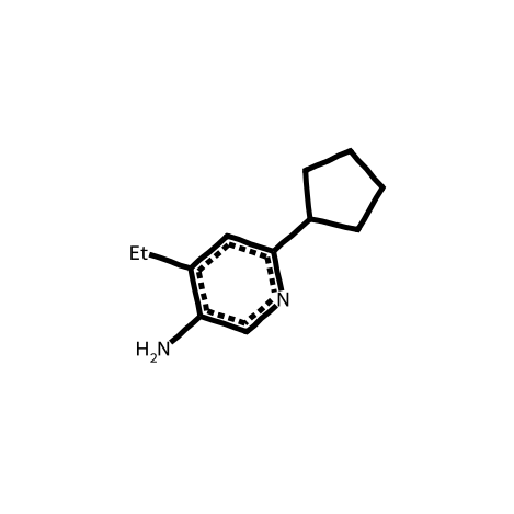 CCc1cc(C2CCCC2)ncc1N